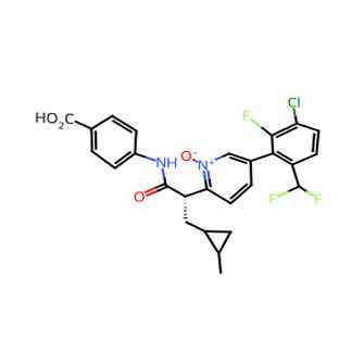 CC1CC1C[C@H](C(=O)Nc1ccc(C(=O)O)cc1)c1ccc(-c2c(C(F)F)ccc(Cl)c2F)c[n+]1[O-]